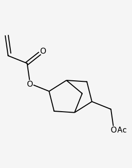 C=CC(=O)OC1CC2CC1CC2COC(C)=O